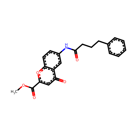 COC(=O)c1cc(=O)c2cc(NC(=O)CCCc3ccccc3)ccc2o1